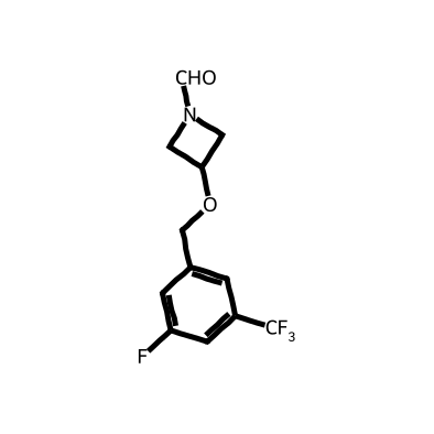 O=CN1CC(OCc2cc(F)cc(C(F)(F)F)c2)C1